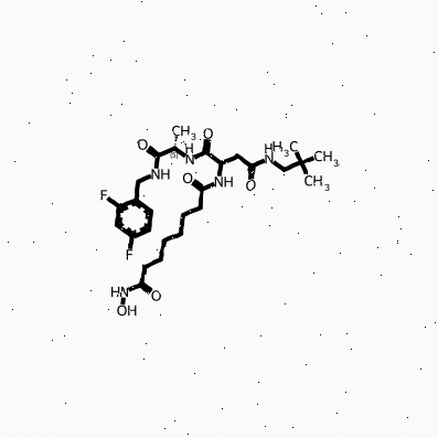 C[C@H](NC(=O)C(CC(=O)NCC(C)(C)C)NC(=O)CCCCCCC(=O)NO)C(=O)NCc1ccc(F)cc1F